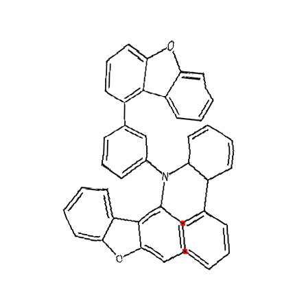 C1=CC(c2ccccc2)C(N(c2cccc(-c3cccc4oc5ccccc5c34)c2)c2cccc3oc4ccccc4c23)C=C1